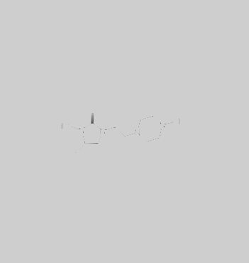 CC(C)C1CN(CCN2CCN(C)CC2)C(=O)N1C(C)C